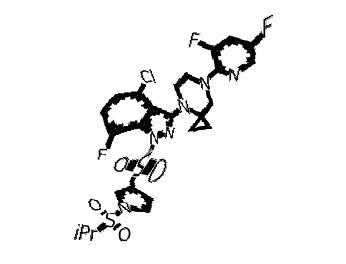 CC(C)S(=O)(=O)n1ccc(S(=O)(=O)n2nc(N3CCN(c4ncc(F)cc4F)CC34CC4)c3c(Cl)ccc(F)c32)c1